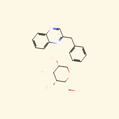 C[C@H]1[C@H](O)[C@@H](O)[C@H](c2cccc(Cc3cnc4ccccc4n3)c2)O[C@@H]1CO